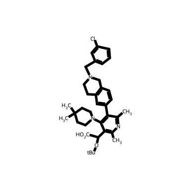 Cc1nc(C)c(C(OC(C)(C)C)C(=O)O)c(N2CCC(C)(C)CC2)c1-c1ccc2c(c1)CCN(Cc1cccc(Cl)c1)C2